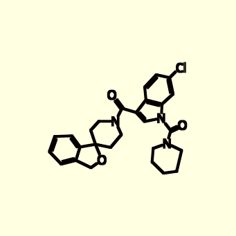 O=C(c1cn(C(=O)N2CCCCC2)c2cc(Cl)ccc12)N1CCC2(CC1)OCc1ccccc12